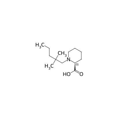 CCCC(C)(C)CN1CCCC[C@H]1C(=O)O